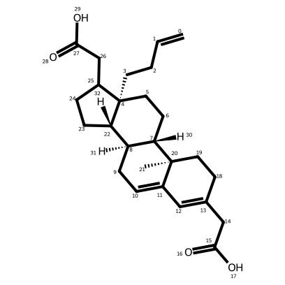 C=CCC[C@]12CC[C@H]3[C@@H](CC=C4C=C(CC(=O)O)CC[C@@]43C)[C@@H]1CCC2CC(=O)O